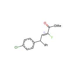 COC(=O)/C(F)=C/C(c1ccc(Cl)cc1)C(C)C